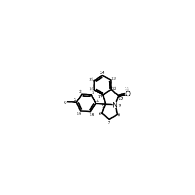 Cc1ccc(C23CCCN2C(=O)c2ccccc23)cc1